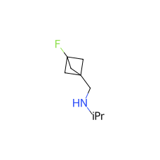 CC(C)NCC12CC(F)(C1)C2